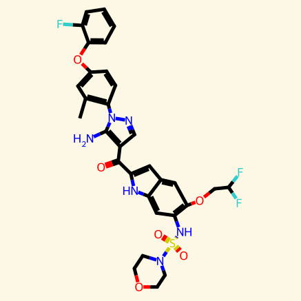 Cc1cc(Oc2ccccc2F)ccc1-n1ncc(C(=O)c2cc3cc(OCC(F)F)c(NS(=O)(=O)N4CCOCC4)cc3[nH]2)c1N